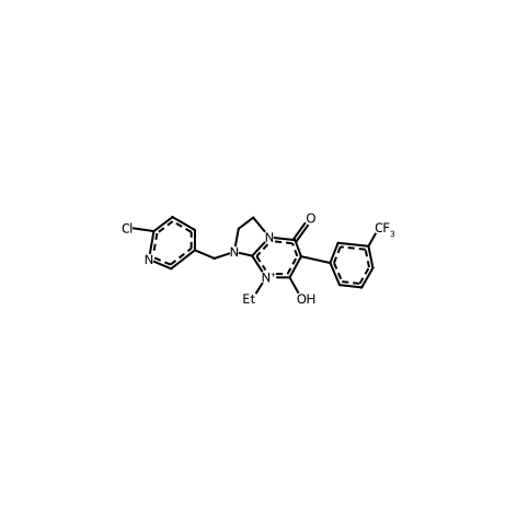 CC[n+]1c(O)c(-c2cccc(C(F)(F)F)c2)c(=O)n2c1N(Cc1ccc(Cl)nc1)CC2